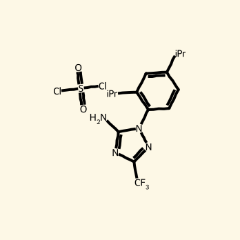 CC(C)c1ccc(-n2nc(C(F)(F)F)nc2N)c(C(C)C)c1.O=S(=O)(Cl)Cl